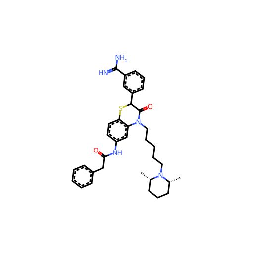 C[C@@H]1CCC[C@H](C)N1CCCCCN1C(=O)C(c2cccc(C(=N)N)c2)Sc2ccc(NC(=O)Cc3ccccc3)cc21